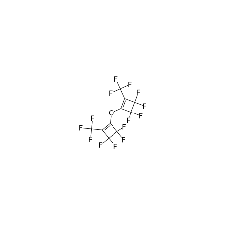 FC(F)(F)C1=C(OC2=C(C(F)(F)F)C(F)(F)C2(F)F)C(F)(F)C1(F)F